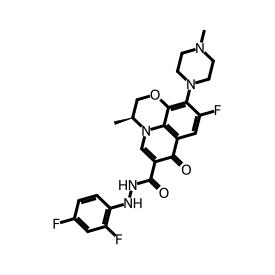 C[C@H]1COc2c(N3CCN(C)CC3)c(F)cc3c(=O)c(C(=O)NNc4ccc(F)cc4F)cn1c23